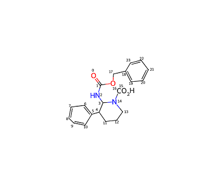 O=C(NC1C(c2ccccc2)CCCN1C(=O)O)OCc1ccccc1